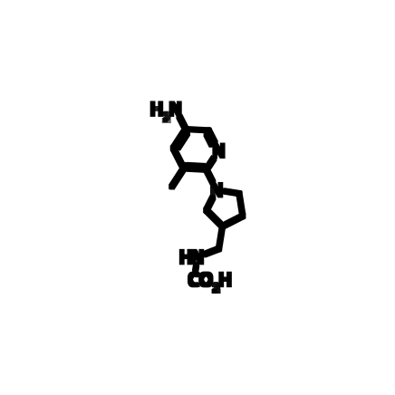 Cc1cc(N)cnc1N1CCC(CNC(=O)O)C1